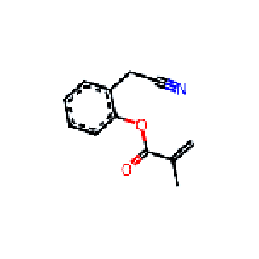 C=C(C)C(=O)Oc1ccccc1CC#N